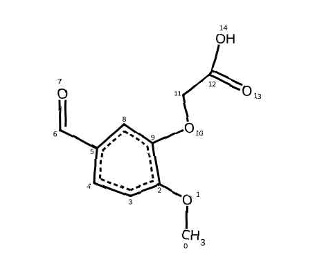 COc1ccc(C=O)cc1OCC(=O)O